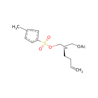 C=CCC[C@H](COC(C)=O)COS(=O)(=O)c1ccc(C)cc1